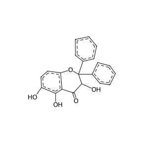 O=C1c2c(ccc(O)c2O)OC(c2ccccc2)(c2ccccc2)C1O